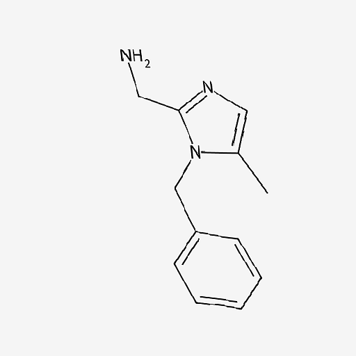 Cc1cnc(CN)n1Cc1ccccc1